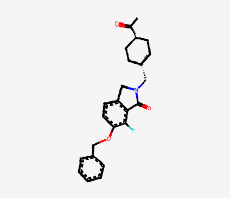 CC(=O)[C@H]1CC[C@H](CN2Cc3ccc(OCc4ccccc4)c(F)c3C2=O)CC1